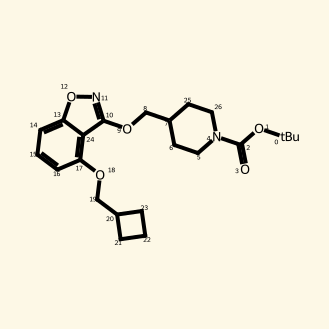 CC(C)(C)OC(=O)N1CCC(COc2noc3cccc(OCC4CCC4)c23)CC1